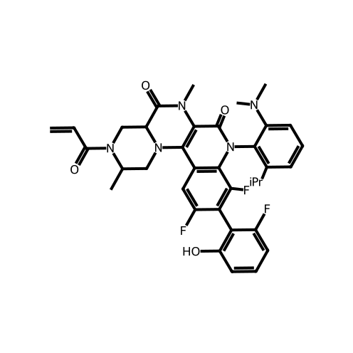 C=CC(=O)N1CC2C(=O)N(C)c3c(c4cc(F)c(-c5c(O)cccc5F)c(F)c4n(-c4c(C(C)C)cccc4N(C)C)c3=O)N2CC1C